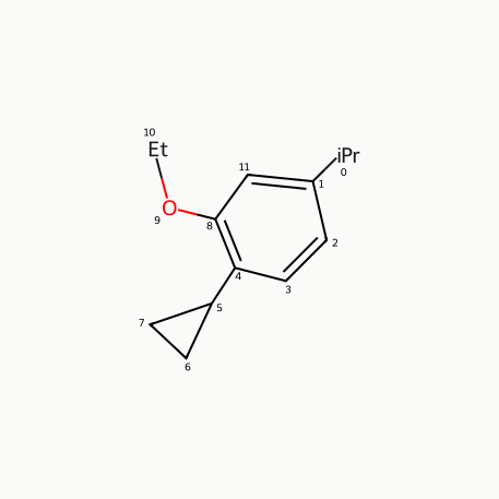 [CH2]C(C)c1ccc(C2CC2)c(OCC)c1